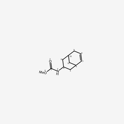 COC(=O)NC1CC2C=CCC(C2)C1